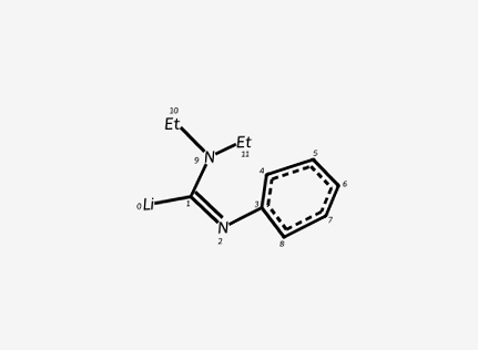 [Li][C](=Nc1ccccc1)N(CC)CC